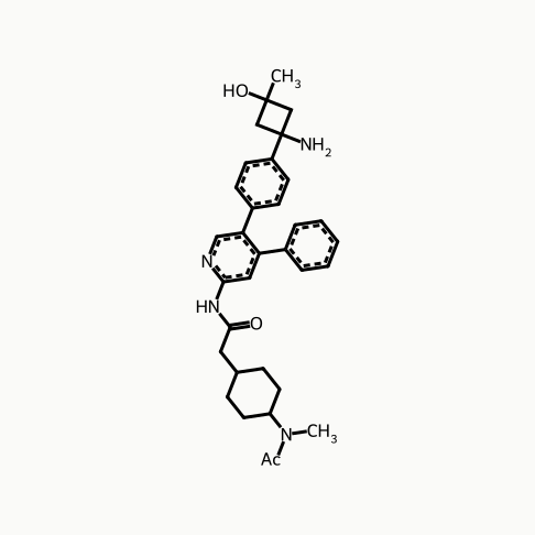 CC(=O)N(C)C1CCC(CC(=O)Nc2cc(-c3ccccc3)c(-c3ccc(C4(N)CC(C)(O)C4)cc3)cn2)CC1